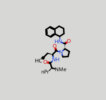 C#CC[C@H](NC(=O)[C@H](CCC)NC)C(=O)N1CCC[C@H]1C(=O)N[C@@H]1CCCc2ccccc21